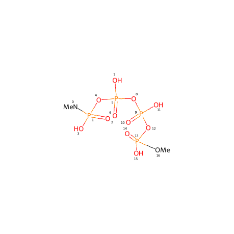 CNP(=O)(O)OP(=O)(O)OP(=O)(O)OP(=O)(O)OC